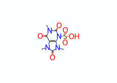 Cn1c(=O)c2c(n(C)c(=O)n2C)n(S(=O)(=O)O)c1=O